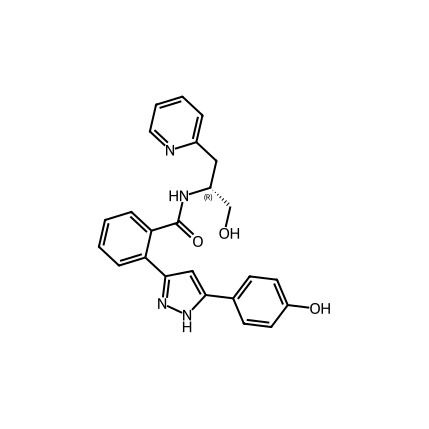 O=C(N[C@@H](CO)Cc1ccccn1)c1ccccc1-c1cc(-c2ccc(O)cc2)[nH]n1